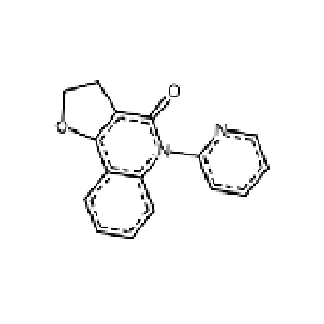 O=c1c2c(c3ccccc3n1-c1ccccn1)OCC2